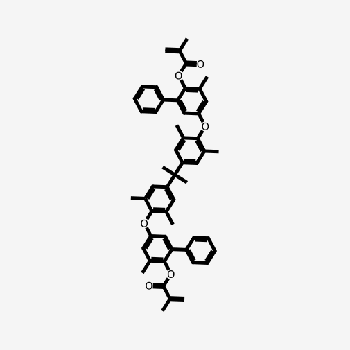 C=C(C)C(=O)Oc1c(C)cc(Oc2c(C)cc(C(C)(C)c3cc(C)c(Oc4cc(C)c(OC(=O)C(=C)C)c(-c5ccccc5)c4)c(C)c3)cc2C)cc1-c1ccccc1